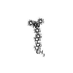 CC1C=Cc2cc(-c3ccc4cc(-c5ccc(-c6nc(-c7ccccc7)nc(-c7ccccc7)n6)cc5)ccc4c3)ccc2C1